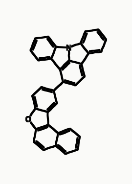 c1ccc2c(c1)ccc1oc3ccc(-c4ccc5c6ccccc6n6c7ccccc7c4c56)cc3c12